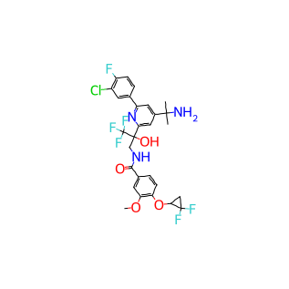 COc1cc(C(=O)NCC(O)(c2cc(C(C)(C)N)cc(-c3ccc(F)c(Cl)c3)n2)C(F)(F)F)ccc1OC1CC1(F)F